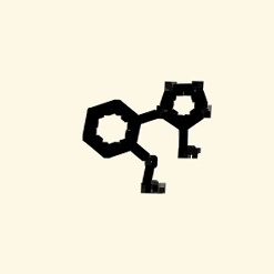 CCCCOc1ccccc1-n1nnnc1CCC